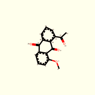 COc1cccc2c1C(=O)c1c(C(C)=O)cccc1C2=O